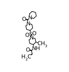 C=CC(=O)NC1CCN(S(=O)(=O)C2CCN(C(=O)N3CCCCC3)CC2)CC1C